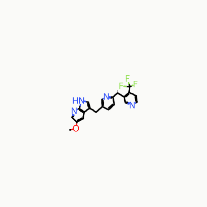 COc1cnc2[nH]cc(Cc3ccc([CH]c4cnccc4C(F)(F)F)nc3)c2c1